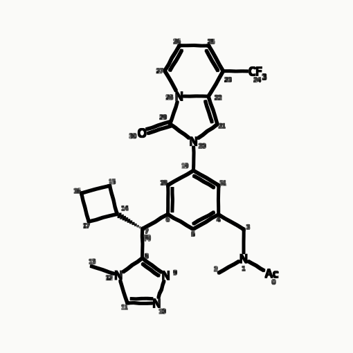 CC(=O)N(C)Cc1cc([C@H](c2nncn2C)C2CCC2)cc(-n2cc3c(C(F)(F)F)cccn3c2=O)c1